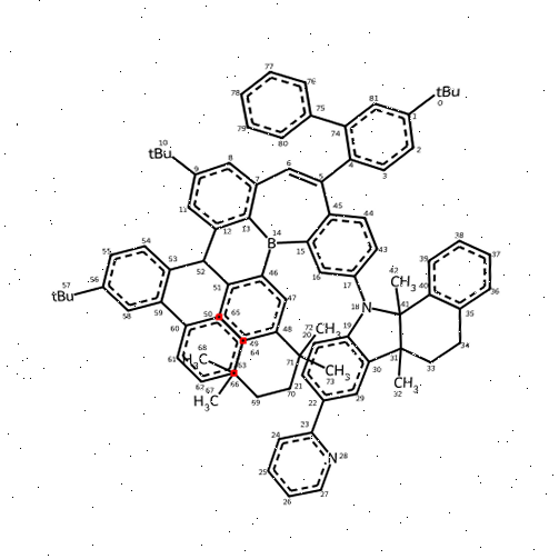 CC(C)(C)c1ccc(C2=Cc3cc(C(C)(C)C)cc4c3B(c3cc(N5c6ccc(-c7ccccn7)cc6C6(C)CCc7ccccc7C56C)ccc32)c2cc3c(cc2C4c2ccc(C(C)(C)C)cc2-c2ccccc2)C(C)(C)CCC3(C)C)c(-c2ccccc2)c1